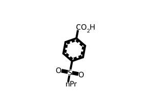 CCCS(=O)(=O)c1ccc(C(=O)O)cc1